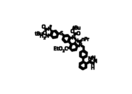 CCCc1nc2c(-c3ccc(Sc4ccc(N)c(N(C)C(=O)OC(C)(C)C)c4)cc3N(C)C(=O)OC(C)(C)C)c(C(=O)OCC)ccc2n1Cc1ccc(-c2ccccc2-c2nnn[nH]2)cc1